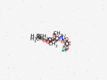 COc1cc(N2CCC(Oc3ccc(OC(F)(F)F)cc3)C2=O)ccc1OCC(C)(C)OCOCC[Si](C)(C)C